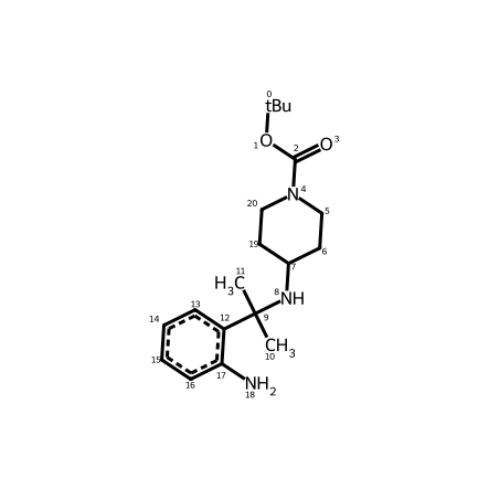 CC(C)(C)OC(=O)N1CCC(NC(C)(C)c2ccccc2N)CC1